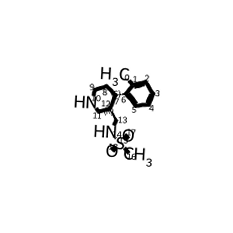 Cc1ccccc1[C@H]1CCNC[C@@H]1CNS(C)(=O)=O